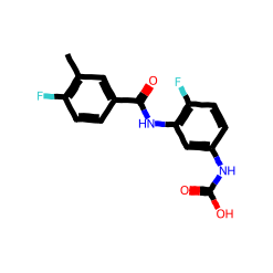 Cc1cc(C(=O)Nc2cc(NC(=O)O)ccc2F)ccc1F